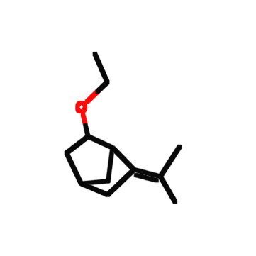 CCOC1CC2CC(=C(C)C)C1C2